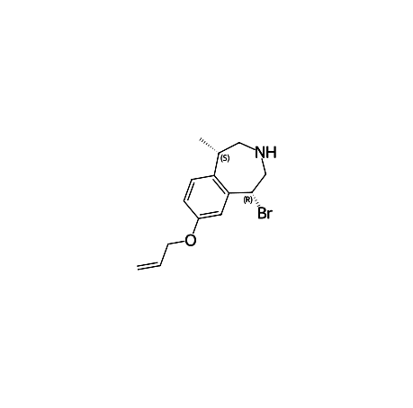 C=CCOc1ccc2c(c1)[C@@H](Br)CNC[C@H]2C